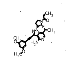 C=CC(=O)N1CC[C@H](n2nc(C#Cc3cc(OC)cc(OC)c3)c3c(N)ncc(C(C)F)c32)C1